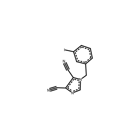 N#Cc1ncn(Cc2cccc(I)c2)c1C#N